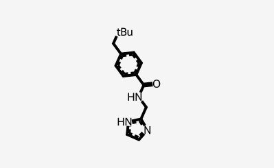 CC(C)(C)Cc1ccc(C(=O)NCc2ncc[nH]2)cc1